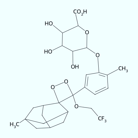 Cc1ccc(C2(OCC(F)(F)F)OOC23C2CC4CC3CC(C)(C4)C2)cc1OC1OC(C(=O)O)C(O)C(O)C1O